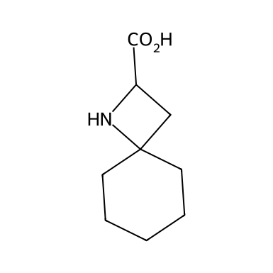 O=C(O)C1CC2(CCCCC2)N1